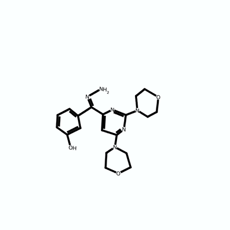 NN=C(c1cccc(O)c1)c1cc(N2CCOCC2)nc(N2CCOCC2)n1